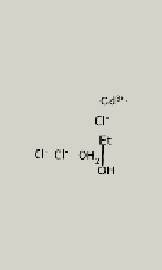 CCO.O.[Cl-].[Cl-].[Cl-].[Gd+3]